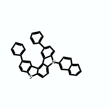 c1ccc(-c2ccc3sc4ccc5c(c6cc(-c7ccccc7)ccc6n5-c5ccc6ccccc6c5)c4c3c2)cc1